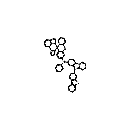 c1ccc(N(c2ccc3c(c2)Sc2ccccc2C32c3ccccc3-c3cccc4cccc2c34)c2ccc3c4ccccc4n(-c4ccc5c(c4)sc4ccccc45)c3c2)cc1